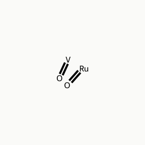 [O]=[Ru].[O]=[V]